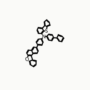 c1ccc(-c2ccc(N(c3ccc(-c4ccc5c(ccc6oc7ccccc7c65)c4)cc3)c3cccc4c3sc3ccccc34)cc2)cc1